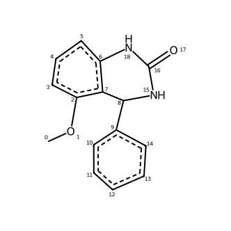 COc1cccc2c1C(c1ccccc1)NC(=O)N2